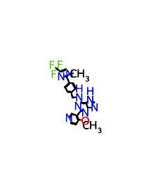 COc1ccncc1-c1nc(NCc2ccc(-c3nc(C(F)(F)F)cn3C)cc2)c2[nH]cnc2n1